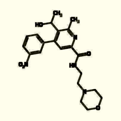 Cc1nc(C(=O)NCCN2CCOCC2)cc(-c2cccc([N+](=O)[O-])c2)c1C(C)O